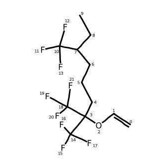 C=COC(CCCC(CC)C(F)(F)F)(C(F)(F)F)C(F)(F)F